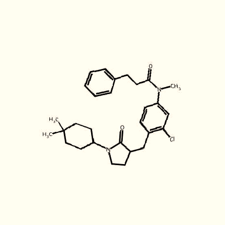 CN(C(=O)CCc1ccccc1)c1ccc(CC2CCN(C3CCC(C)(C)CC3)C2=O)c(Cl)c1